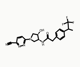 CC(c1ccc(CC(=O)N[C@H]2CN(c3ccc(C#N)nn3)C[C@H]2O)cc1)C(F)(F)F